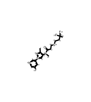 Cc1nn(-c2cncc(F)c2)cc1N(C)C(=O)CCSCCC(F)(F)F